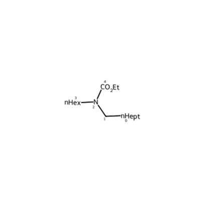 CCCCCCCCN(CCCCCC)C(=O)OCC